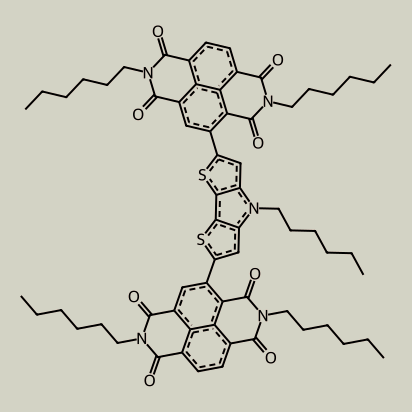 CCCCCCN1C(=O)c2ccc3c4c(c(-c5cc6c(s5)c5sc(-c7cc8c9c(ccc%10c9c7C(=O)N(CCCCCC)C%10=O)C(=O)N(CCCCCC)C8=O)cc5n6CCCCCC)cc(c24)C1=O)C(=O)N(CCCCCC)C3=O